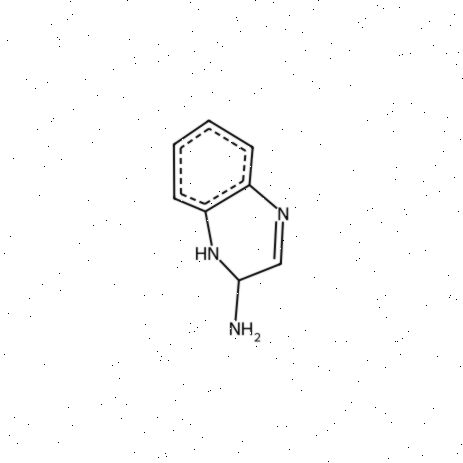 NC1C=Nc2ccccc2N1